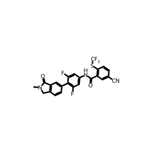 CN1Cc2ccc(-c3c(F)cc(NC(=O)c4cc(C#N)ccc4SC(F)(F)F)cc3F)cc2C1=O